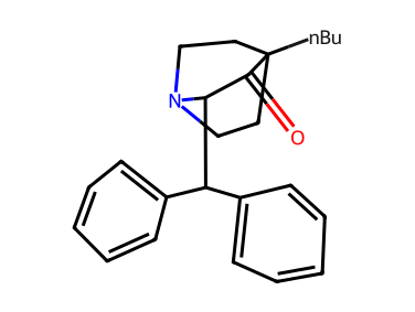 CCCCC12CCN(CC1)C(C(c1ccccc1)c1ccccc1)C2=O